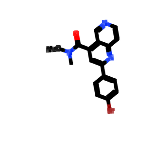 CON(C)C(=O)c1cc(-c2ccc(Br)cc2)nc2ccncc12